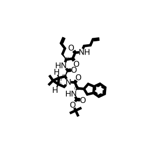 C=CCCNC(=O)C(=O)[C@H](CCC=C)NC(=O)[C@@H]1[C@@H]2[C@H](CN1C(=O)[C@@H](NC(=O)OC(C)(C)C)C1Cc3ccccc3C1)C2(C)C